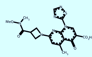 CON(C)C(=O)C1CN(c2cc(C)c3c(=O)c(C(=O)O)cn(-c4ncns4)c3n2)C1